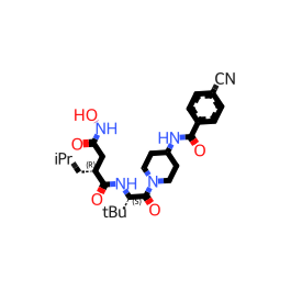 CC(C)C[C@H](CC(=O)NO)C(=O)N[C@H](C(=O)N1CCC(NC(=O)c2ccc(C#N)cc2)CC1)C(C)(C)C